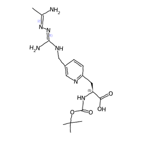 C/C(N)=N/N=C(\N)NCc1ccc(C[C@H](NC(=O)OC(C)(C)C)C(=O)O)nc1